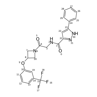 O=C(NCC(=O)N1CC(Oc2cccc(C(F)(F)F)c2)C1)c1cc(-c2ccccc2)[nH]n1